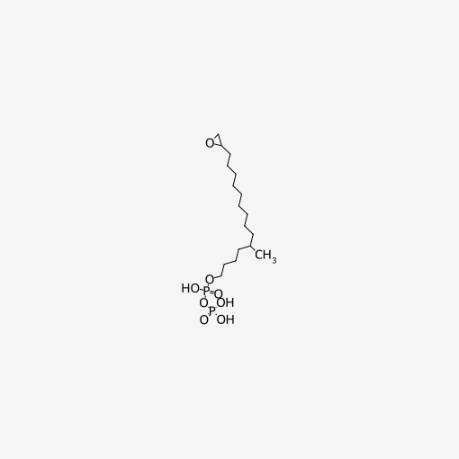 CC(CCCCCCCCCC1CO1)CCCCOP(=O)(O)OP(=O)(O)O